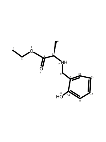 CCOC(=O)[C@@H](C)NCc1ccccc1O